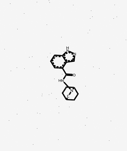 O=C(NN1CC2CCC1CC2)c1cccc2[nH]ncc12